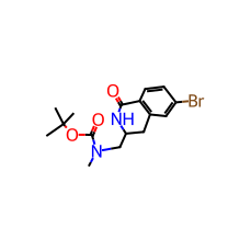 CN(CC1Cc2cc(Br)ccc2C(=O)N1)C(=O)OC(C)(C)C